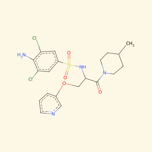 CC1CCN(C(=O)C(COc2cccnc2)NS(=O)(=O)c2cc(Cl)c(N)c(Cl)c2)CC1